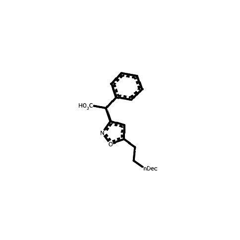 CCCCCCCCCCCCc1cc(C(C(=O)O)c2ccccc2)no1